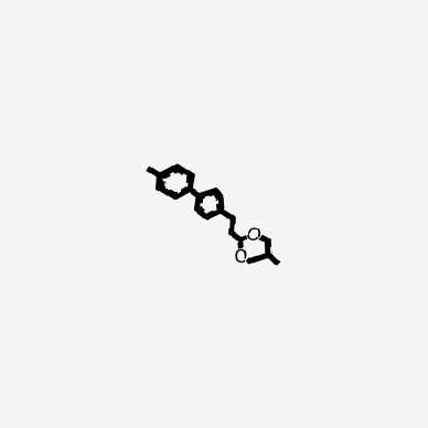 Cc1ccc(-c2ccc(CCC3OCC(C)CO3)cc2)cc1